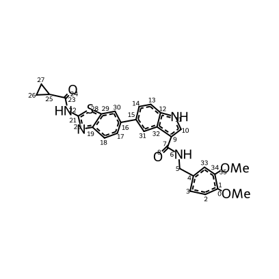 COc1ccc(CNC(=O)c2c[nH]c3ccc(-c4ccc5nc(NC(=O)C6CC6)sc5c4)cc23)cc1OC